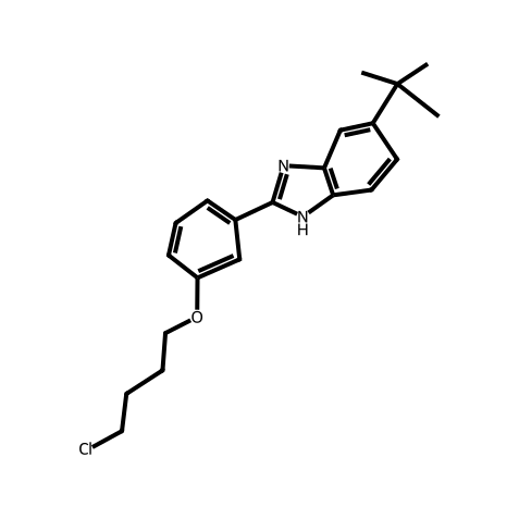 CC(C)(C)c1ccc2[nH]c(-c3cccc(OCCCCCl)c3)nc2c1